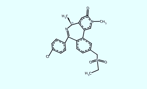 CCS(=O)(=O)Cc1ccc2c(c1)-c1cn(C)c(=O)cc1[C@H](C)N=C2c1ccc(Cl)cc1